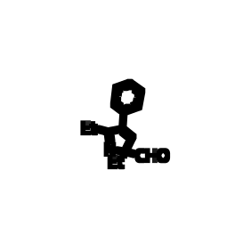 CCC1=NC(C=O)(CC)C=C1c1ccccc1